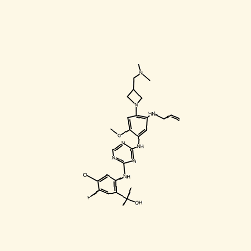 C=CCNc1cc(Nc2ncnc(Nc3cc(Cl)c(F)cc3C(C)(C)O)n2)c(OC)cc1N1CC(CN(C)C)C1